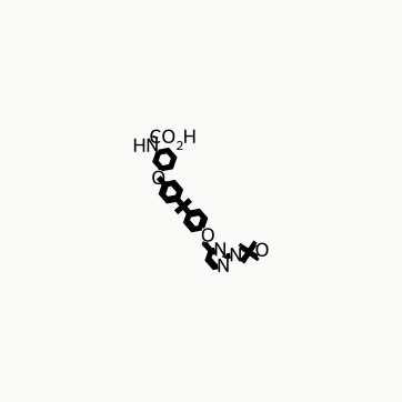 CC(C)(c1ccc(OCc2ccnc(N3CC4(COC4)C3)n2)cc1)c1ccc(OC2CCCC(NC(=O)O)C2)cc1